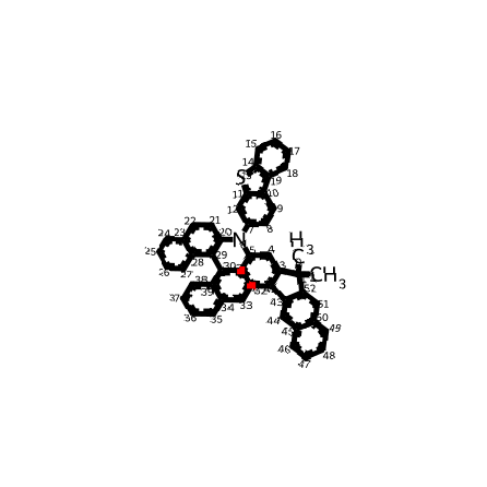 CC1(C)c2cc(N(c3ccc4c(c3)sc3ccccc34)c3ccc4ccccc4c3-c3cccc4ccccc34)ccc2-c2cc3ccccc3cc21